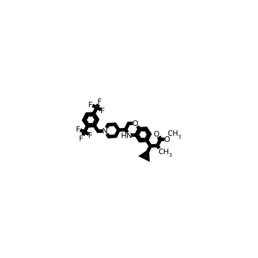 COC(=O)C(C)C(c1ccc2c(c1)NC(C1CCN(Cc3cc(C(F)(F)F)ccc3C(F)(F)F)CC1)CO2)C1CC1